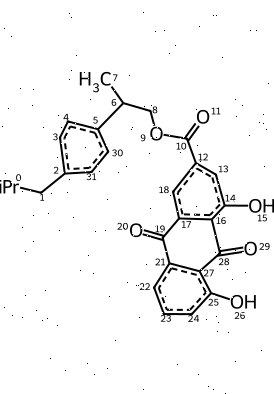 CC(C)Cc1ccc(C(C)COC(=O)c2cc(O)c3c(c2)C(=O)c2cccc(O)c2C3=O)cc1